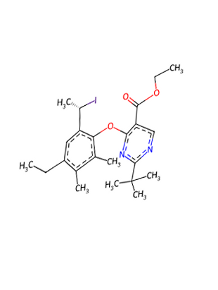 CCOC(=O)c1cnc(C(C)(C)C)nc1Oc1c([C@H](C)I)cc(CC)c(C)c1C